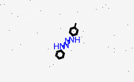 Cc1ccc(NN=NNc2ccccc2)cc1